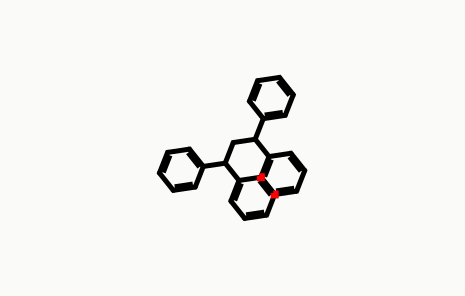 c1ccc(C(CC(c2ccccc2)c2ccccc2)c2ccccc2)cc1